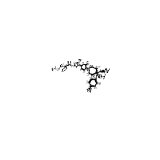 CC(=O)NC[C@H]1CN(c2ccc(N3CCC(C#N)(Nc4ccc(C#N)cc4)CC3)c(F)c2)C(=O)O1